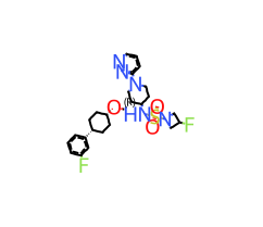 O=S(=O)(NC1CCN(c2cccnn2)C[C@H]1CO[C@H]1CC[C@@H](c2cccc(F)c2)CC1)N1CC(F)C1